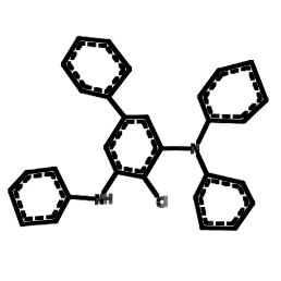 Clc1c(Nc2ccccc2)cc(-c2ccccc2)cc1N(c1ccccc1)c1ccccc1